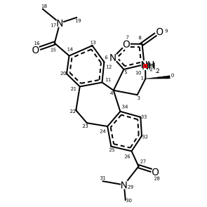 C[C@H](N)CC1(c2noc(=O)[nH]2)c2ccc(C(=O)N(C)C)cc2CCc2cc(C(=O)N(C)C)ccc21